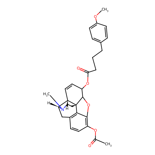 COc1ccc(CCCC(=O)OC2C=C[C@H]3[C@H]4Cc5ccc(OC(C)=O)c6c5[C@@]3(CCN4C)C2O6)cc1